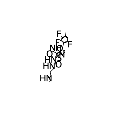 CNCCCNC(=O)Nc1snc(OCc2c(F)cc(C)c(F)c2F)c1C(N)=O